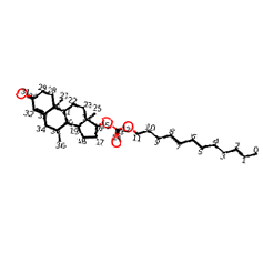 CCCCCCCCCCCCOC(=O)O[C@H]1CCC2C3C(CC[C@@]21C)[C@@]1(C)CCC(=O)C=C1C[C@@H]3C